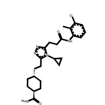 CNC(=O)[C@H]1CC[C@H](CCc2nnc(CCC(=O)Nc3cccc(Cl)c3C)n2C2CC2)CC1